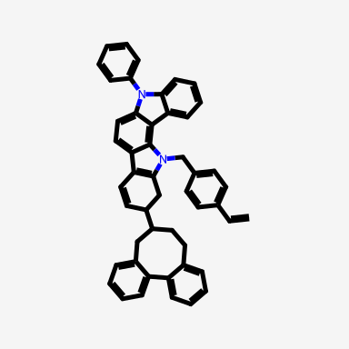 C=Cc1ccc(Cn2c3c(c4ccc5c(c6ccccc6n5-c5ccccc5)c42)C=CC(C2CCc4ccccc4-c4ccccc4C2)C3)cc1